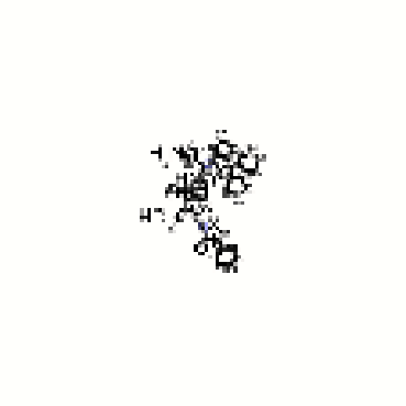 Nc1nc(/C(=N/OC(c2ccccc2)(c2ccccc2)c2ccccc2)C(=O)N[C@@H]2C(=O)N3C(C(=O)O)=C(/C=C4\CCN(c5ccccn5)C4=O)CS[C@H]23)cs1